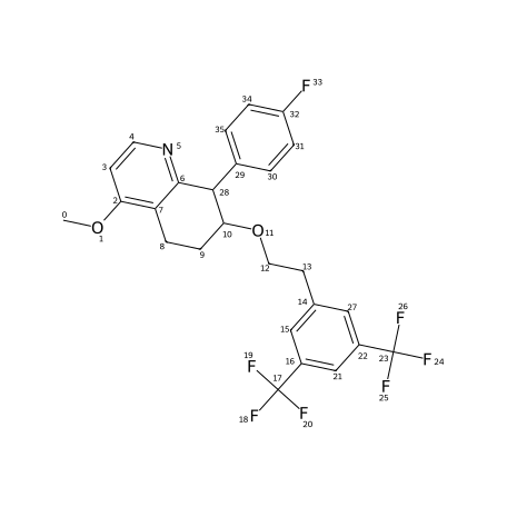 COc1ccnc2c1CCC(OCCc1cc(C(F)(F)F)cc(C(F)(F)F)c1)C2c1ccc(F)cc1